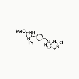 COC1=CN(C(C)C)C(c2ccc(Cn3ncc4cnc(Cl)nc43)cc2)N1